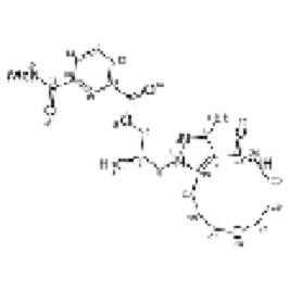 CCc1nn(C[C@@H](C)COC(=O)c2cccc(C(=O)NC)c2)c2c1C(=O)NCCCOCCC2